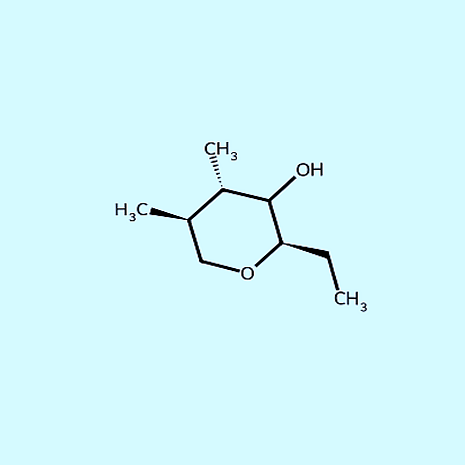 CC[C@H]1OC[C@@H](C)[C@H](C)C1O